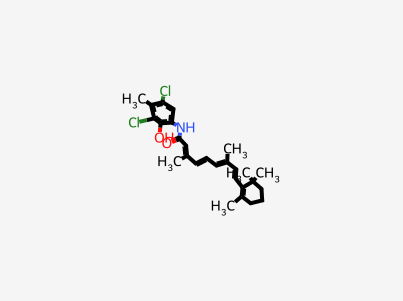 CC(C=CC1=C(C)CCCC1(C)C)=CC=CC(C)=CC(=O)Nc1cc(Cl)c(C)c(Cl)c1O